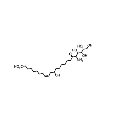 N[C@@H](C(=O)CCCCCC[C@@H](O)C/C=C\CCCCCCCC(=O)O)[C@@H](O)[C@H](O)[C@H](O)CO